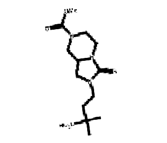 COC(=O)N1CCN2C(=S)N(CCC(C)(C)C(=O)O)CC2C1